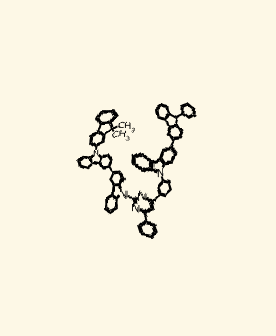 CC1(C)c2ccccc2-c2ccc(-n3c4ccccc4c4cc(-c5ccc6c(c5)c5ccccc5n6-c5nc(-c6ccccc6)cc(-c6cccc(-n7c8ccccc8c8cc(-c9ccc%10c(c9)-c9ccccc9C%10c9ccccc9)ccc87)c6)n5)ccc43)cc21